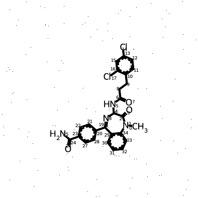 CN1C(=O)C(NC(=O)CCc2ccc(Cl)cc2Cl)N=C(c2ccc(C(N)=O)cc2)c2ccccc21